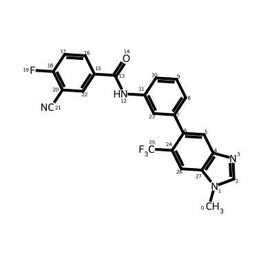 Cn1cnc2cc(-c3cccc(NC(=O)c4ccc(F)c(C#N)c4)c3)c(C(F)(F)F)cc21